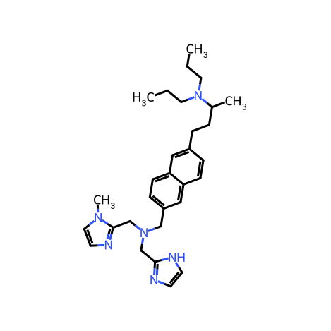 CCCN(CCC)C(C)CCc1ccc2cc(CN(Cc3ncc[nH]3)Cc3nccn3C)ccc2c1